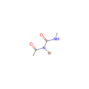 CNC(=O)N(Br)C(C)=O